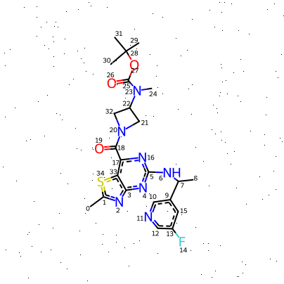 Cc1nc2nc(NC(C)c3cncc(F)c3)nc(C(=O)N3CC(N(C)C(=O)OC(C)(C)C)C3)c2s1